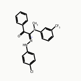 CN(/C(=N/Nc1ccc(Cl)cc1)C(=O)c1ccccc1)c1cccc(C(F)(F)F)c1